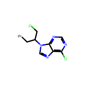 CC(C)CC(CCl)n1cnc2c(Cl)ncnc21